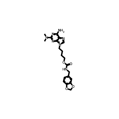 CN(C)c1nc(N)c2ncn(CCCCOC(=O)NCc3ccc4c(c3)OCO4)c2n1